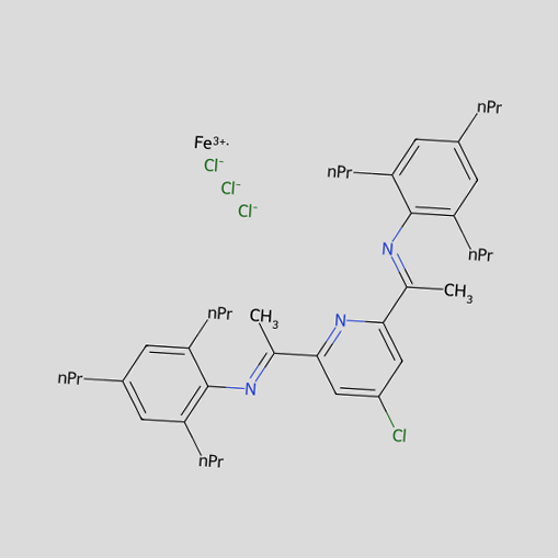 CCCc1cc(CCC)c(N=C(C)c2cc(Cl)cc(C(C)=Nc3c(CCC)cc(CCC)cc3CCC)n2)c(CCC)c1.[Cl-].[Cl-].[Cl-].[Fe+3]